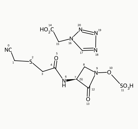 N#CCSCC(=O)N[C@H]1CN(OS(=O)(=O)O)C1=O.O=C(O)Cn1cnnn1